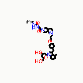 Cc1cccc2c1c(Cc1ccc(OCCCN3CCCC4(CCN(C(=O)CNC(=O)NCC(C)C)CC4)C3)cc1)cn2[C@H]1CC(O)CC(CO)O1